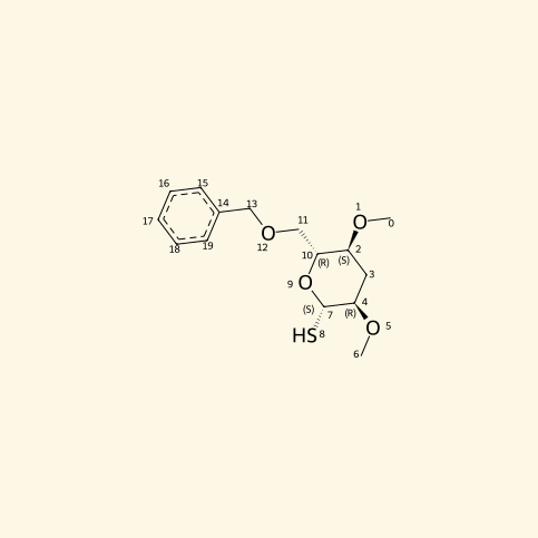 CO[C@H]1C[C@@H](OC)[C@H](S)O[C@@H]1COCc1ccccc1